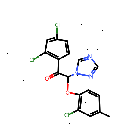 Cc1ccc(OC(C(=O)c2ccc(Cl)cc2Cl)n2cncn2)c(Cl)c1